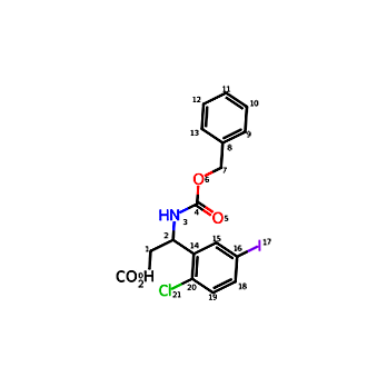 O=C(O)CC(NC(=O)OCc1ccccc1)c1cc(I)ccc1Cl